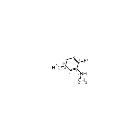 CNC1=C[C@@H](C)CC=C1F